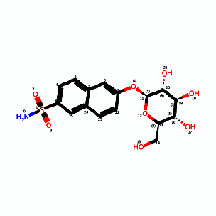 NS(=O)(=O)c1ccc2cc(O[C@@H]3O[C@H](CO)[C@@H](O)[C@H](O)[C@H]3O)ccc2c1